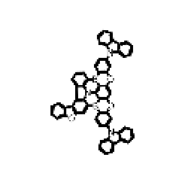 c1ccc2c(c1)oc1cc3c4c(c5cccc6c5n4-c4c5c(cc7c4B3c3ccc(-n4c8ccccc8c8ccccc84)cc3O7)Oc3cc(-n4c7ccccc7c7ccccc74)ccc3B56)c12